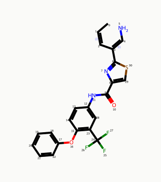 C/C=C\C(=C/N)c1nc(C(=O)Nc2ccc(Oc3ccccc3)c(C(F)(F)F)c2)cs1